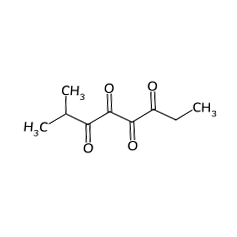 CCC(=O)C(=O)C(=O)C(=O)C(C)C